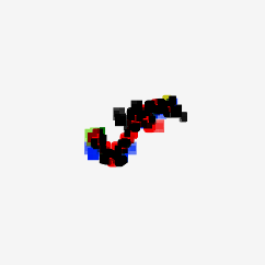 Cc1ncsc1-c1ccc([C@H](C)NC(=O)[C@H]2C[C@H](O)CN2C(=O)[C@@H](NC(=O)CCOCCOCCNC(=O)c2cc(Oc3ccc(NC(=O)Nc4ccc(Cl)c(C(F)(F)F)c4)cc3)ccn2)C(C)(C)C)cc1